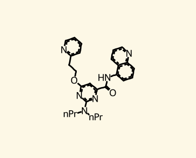 CCCN(CCC)c1nc(OCCc2ccccn2)cc(C(=O)Nc2cccc3ncccc23)n1